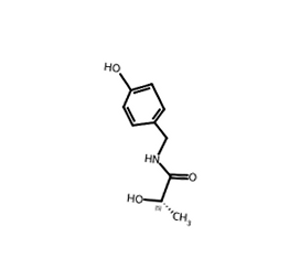 C[C@H](O)C(=O)NCc1ccc(O)cc1